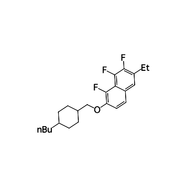 CCCCC1CCC(COc2ccc3cc(CC)c(F)c(F)c3c2F)CC1